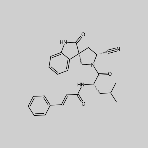 CC(C)C[C@H](NC(=O)/C=C/c1ccccc1)C(=O)N1C[C@@]2(C[C@@H]1C#N)C(=O)Nc1ccccc12